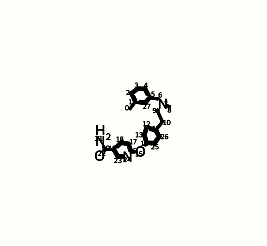 Cc1cccc(CN(C)CCc2ccc(Oc3ccc(C(N)=O)cn3)cc2)c1